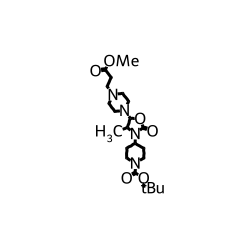 COC(=O)CCN1CCN(C2OC(=O)N(C3CCN(C(=O)OC(C)(C)C)CC3)C2C)CC1